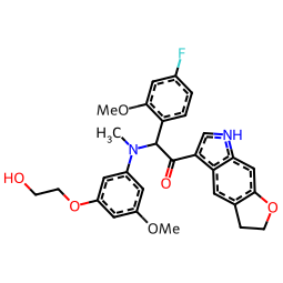 COc1cc(OCCO)cc(N(C)C(C(=O)c2c[nH]c3cc4c(cc23)CCO4)c2ccc(F)cc2OC)c1